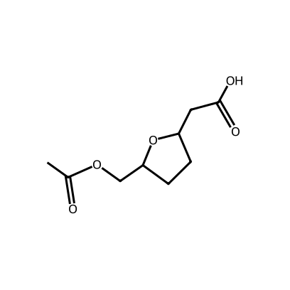 CC(=O)OCC1CCC(CC(=O)O)O1